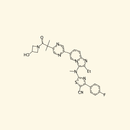 CCc1nc2ccc(-c3cnc(C(C)(C)C(=O)N4CC(O)C4)cn3)cn2c1N(C)c1nc(-c2ccc(F)cc2)c(C#N)s1